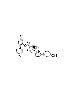 CC1(C)CCN(c2ccc(Cl)cc2OC2(C(=O)NS(=O)(=O)c3cccc(N4CCC(C)(O)CC4)n3)CC2)CC1